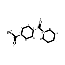 CC(C)C(=O)[C@H]1CC[C@H](C(=O)N2CCCCC2)CC1